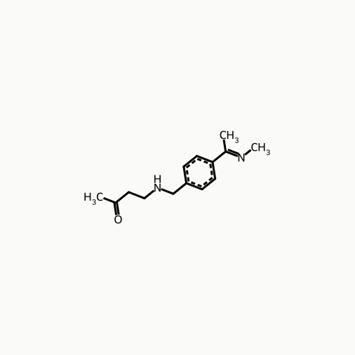 C/N=C(\C)c1ccc(CNCCC(C)=O)cc1